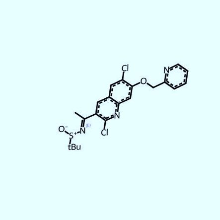 C/C(=N\[S+]([O-])C(C)(C)C)c1cc2cc(Cl)c(OCc3ccccn3)cc2nc1Cl